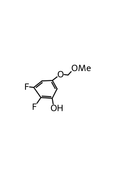 COCOc1cc(O)c(F)c(F)c1